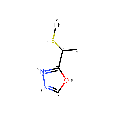 CCSC(C)c1nnco1